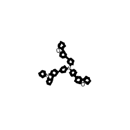 c1ccc(-n2c3ccccc3c3cc(-c4ccc(N(c5ccc(-c6ccc7oc8ccccc8c7c6)cc5)c5cccc(-c6ccc7oc8ccccc8c7c6)c5)cc4)ccc32)cc1